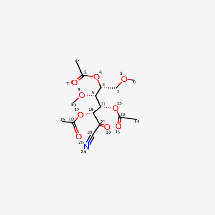 COC[C@@H](OC(C)=O)[C@@H](OC)[C@H](OC(C)=O)[C@@H](OC(C)=O)C(=O)C#N